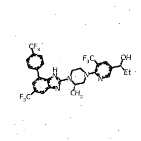 CC[C@H](O)c1cnc(N2CCN(c3nc4cc(C(F)(F)F)cc(-c5ccc(C(F)(F)F)cc5)c4[nH]3)[C@H](C)C2)c(C(F)(F)F)c1